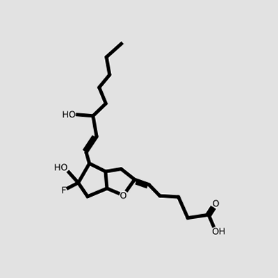 CCCCCC(O)C=CC1C2CC(=CCCCC(=O)O)OC2CC1(O)F